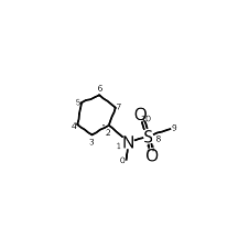 CN([C]1CCCCC1)S(C)(=O)=O